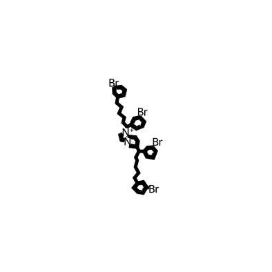 Brc1cccc(CCCCCC(c2cccc(Br)c2)c2ccc3n(cc[n+]3C(CCCCCc3cccc(Br)c3)c3cccc(Br)c3)c2)c1